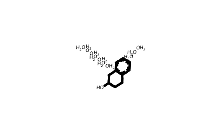 O.O.O.O.O.O.O.O.O.O.OC1CCc2ccccc2C1